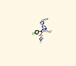 COc1ccc(N2CCC(C=O)(N3C[C@H]([C@H](C)Oc4ccc(Cl)cn4)[C@@H](c4ccc(Cl)cc4)C3)CC2)nc1